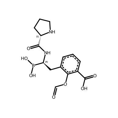 O=COc1c(C[C@H](NC(=O)[C@@H]2CCCN2)B(O)O)cccc1C(=O)O